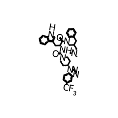 CN(C)CC1Cc2ccccc2N(C(=O)C(Cc2c[nH]c3ccccc23)NC(=O)N2CCC(n3nnc4cc(C(F)(F)F)ccc43)CC2)C1